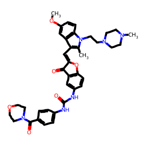 COc1ccc2c(c1)c(/C=C1\Oc3ccc(NC(=O)Nc4ccc(C(=O)N5CCOCC5)cc4)cc3C1=O)c(C)n2CCN1CCN(C)CC1